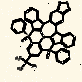 CC(C)(C)c1cc2c3c(c1)[P@](=O)(c1ccccc1)c1c4ccccc4n4c5cc6nsnc6cc5n5c6ccccc6c(c5n-3c14)[P@@]2(=O)c1ccccc1